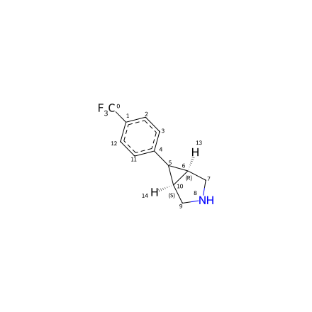 FC(F)(F)c1ccc(C2[C@H]3CNC[C@@H]23)cc1